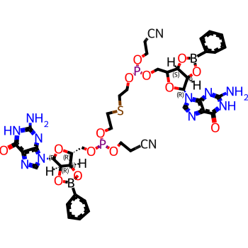 N#CCCOP(OCCSCCOP(OCCC#N)OC[C@H]1O[C@@H](n2cnc3c(=O)[nH]c(N)nc32)[C@@H]2OB(c3ccccc3)O[C@@H]21)OCC1O[C@@H](n2cnc3c(=O)[nH]c(N)nc32)[C@@H]2OB(c3ccccc3)O[C@H]12